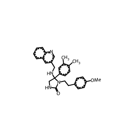 COc1ccc(CCN2C(=O)NCC2(NCc2cnc3ccccc3c2)c2ccc(C)c(C)c2)cc1